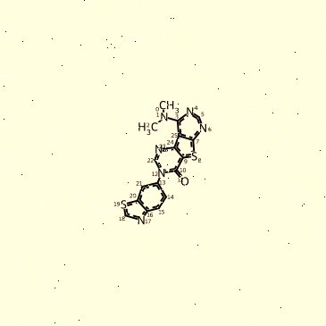 CN(C)c1ncnc2sc3c(=O)n(-c4ccc5ncsc5c4)cnc3c12